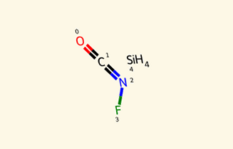 O=C=NF.[SiH4]